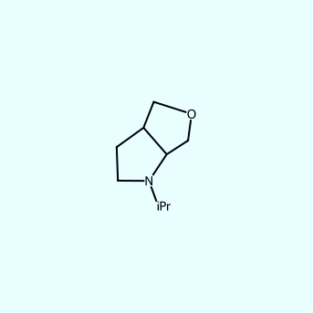 CC(C)N1CCC2COCC21